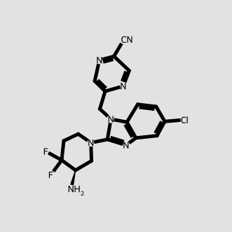 N#Cc1cnc(Cn2c(N3CCC(F)(F)[C@H](N)C3)nc3cc(Cl)ccc32)cn1